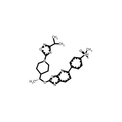 CC(C)c1noc(N2CCC([C@@H](C)Oc3nc4ccc(-c5ccc([SH](C)(=O)I)cc5)nc4s3)CC2)n1